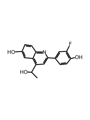 CC(O)c1cc(-c2ccc(O)c(F)c2)nc2ccc(O)cc12